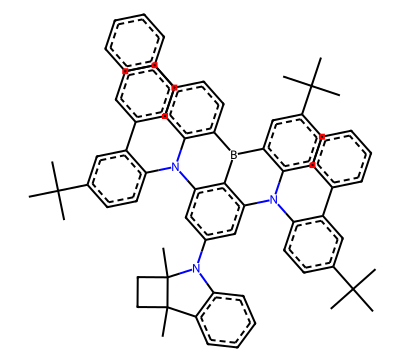 CC(C)(C)c1ccc2c(c1)B1c3ccc(-c4ccccc4)cc3N(c3ccc(C(C)(C)C)cc3-c3ccccc3)c3cc(N4c5ccccc5C5(C)CCC45C)cc(c31)N2c1ccc(C(C)(C)C)cc1-c1ccccc1